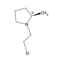 C[C@@H]1CCCN1CC[O]